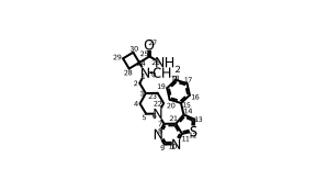 CN(CC1CCN(c2ncnc3scc(-c4ccccc4)c23)CC1)C1(C(N)=O)CCC1